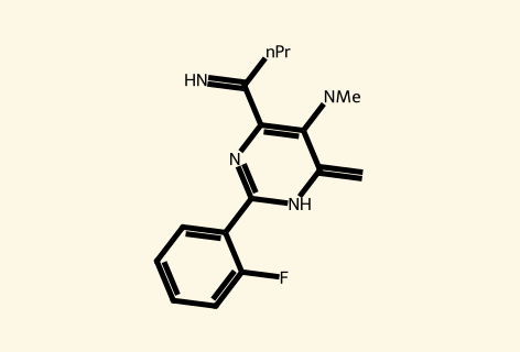 C=C1NC(c2ccccc2F)=NC(C(=N)CCC)=C1NC